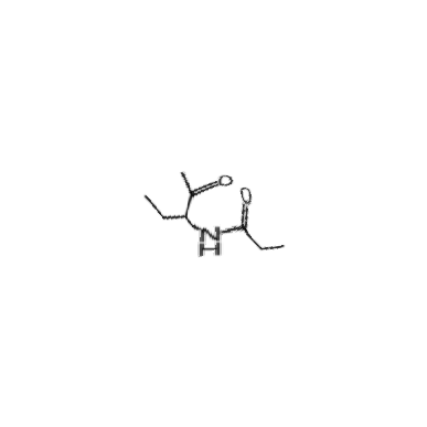 CCC(=O)NC(CC)C(C)=O